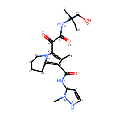 Cc1c(C(=O)NC2C=CNN2C)c2n(c1C(=O)C(=O)NC(C)(C)CO)CCCC2